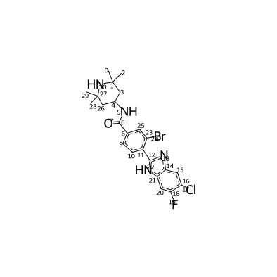 CC1(C)CC(NC(=O)c2ccc(-c3nc4cc(Cl)c(F)cc4[nH]3)c(Br)c2)CC(C)(C)N1